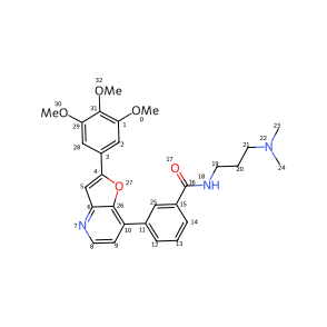 COc1cc(-c2cc3nccc(-c4cccc(C(=O)NCCCN(C)C)c4)c3o2)cc(OC)c1OC